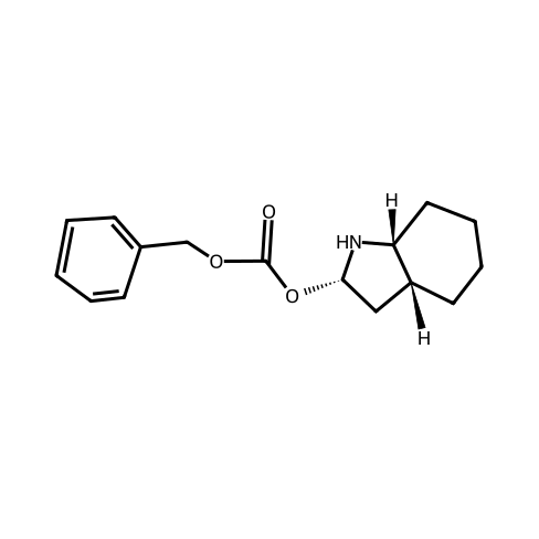 O=C(OCc1ccccc1)O[C@H]1C[C@H]2CCCC[C@H]2N1